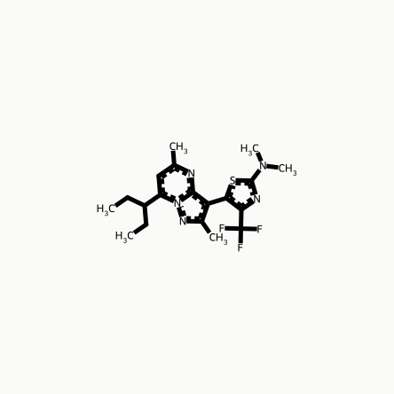 CCC(CC)c1cc(C)nc2c(-c3sc(N(C)C)nc3C(F)(F)F)c(C)nn12